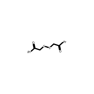 CC(C)C(=O)CSSCC(=O)C(C)C